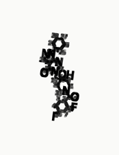 O=C(c1ccc(F)cc1F)N1CCC(O)(Cn2cnc3c(cnn3-c3ccccc3)c2=O)CC1